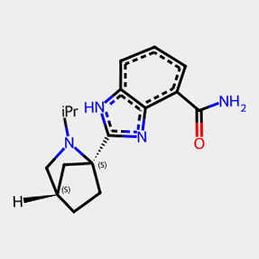 CC(C)N1C[C@H]2CC[C@@]1(c1nc3c(C(N)=O)cccc3[nH]1)C2